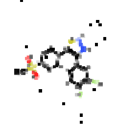 CS(=O)(=O)c1ccc(-c2snnc2-c2ccc(F)c(F)c2)cc1